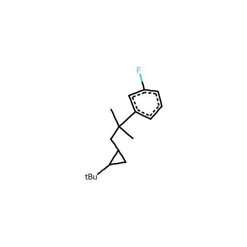 CC(C)(CC1CC1C(C)(C)C)c1cccc(F)c1